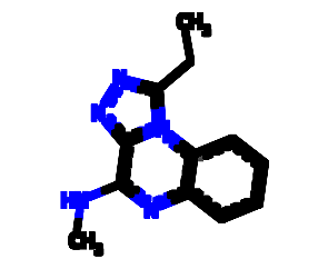 CCc1nnc2c(NC)nc3ccccc3n12